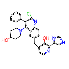 Cn1cncc1-c1nccc(Cc2ccc3nc(Cl)c(-c4ccccc4)c(N4CCC(O)CC4)c3c2)c1O